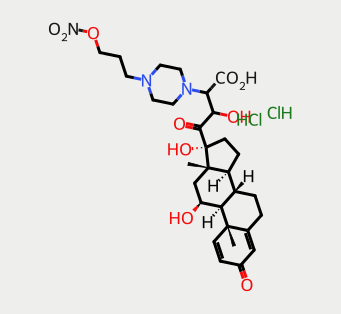 C[C@]12C=CC(=O)C=C1CC[C@@H]1[C@@H]2[C@@H](O)C[C@@]2(C)[C@H]1CC[C@]2(O)C(=O)C(O)C(C(=O)O)N1CCN(CCCO[N+](=O)[O-])CC1.Cl.Cl